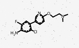 CN(C)CCOc1ccc(-c2cc(F)c(N)cc2Cl)cn1